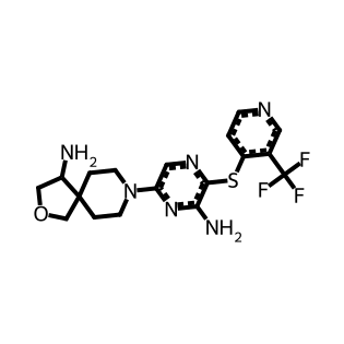 Nc1nc(N2CCC3(CC2)COCC3N)cnc1Sc1ccncc1C(F)(F)F